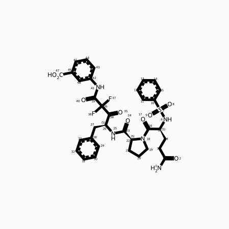 NC(=O)CC[C@H](NS(=O)(=O)c1ccccc1)C(=O)N1CCC[C@H]1C(=O)N[C@@H](Cc1ccccc1)C(=O)C(F)(F)C(=O)Nc1cccc(C(=O)O)c1